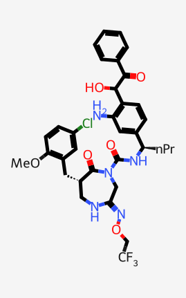 CCC[C@@H](NC(=O)N1CC(=NOCC(F)(F)F)NC[C@H](Cc2cc(Cl)ccc2OC)C1=O)c1ccc(C(O)C(=O)c2ccccc2)c(N)c1